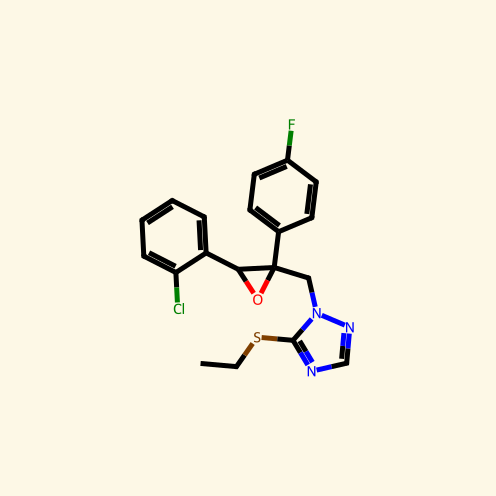 CCSc1ncnn1CC1(c2ccc(F)cc2)OC1c1ccccc1Cl